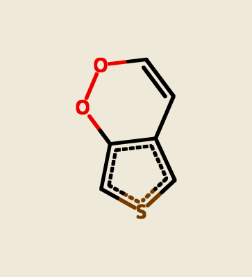 C1=Cc2cscc2OO1